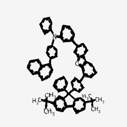 CC(C)(C)c1ccc2c(c1)C(c1ccccc1)(c1ccc(-c3cccc4c3oc3cc(-c5cccc(N(c6ccccc6)c6ccc(-c7cccc8ccccc78)cc6)c5)ccc34)cc1)c1cc(C(C)(C)C)ccc1-2